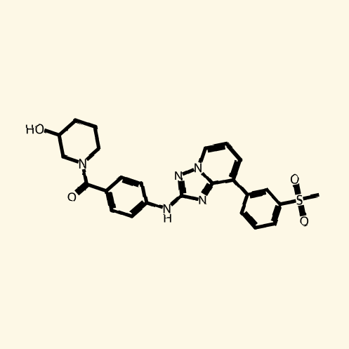 CS(=O)(=O)c1cccc(-c2cccn3nc(Nc4ccc(C(=O)N5CCCC(O)C5)cc4)nc23)c1